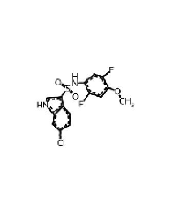 COc1cc(F)c(NS(=O)(=O)c2c[nH]c3cc(Cl)ccc23)cc1F